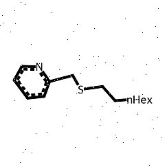 [CH2]CCCCCCCSCc1ccccn1